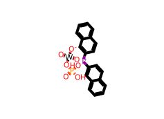 O=P(O)(O)[O][W](=[O])(=[O])[O-].c1ccc2cc([I+]c3ccc4ccccc4c3)ccc2c1